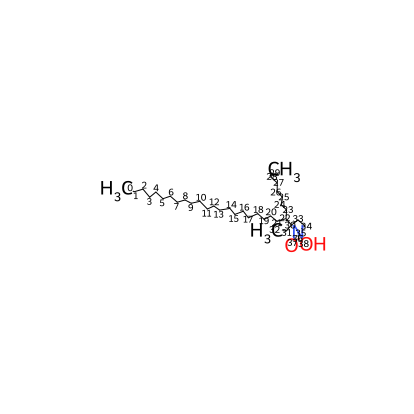 CCCCCCCCCCCCCCCCCCCCCCC(CCCCCCC)C1(CC)CCN1C(=O)O